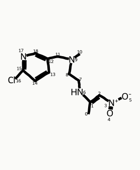 CC(=C[N+](=O)[O-])NCCN(C)Cc1ccc(Cl)nc1